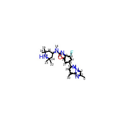 Cc1cn2nc(-c3cc(F)c4nc(N(C)C5CC(C)(C)NC(C)(C)C5)oc4c3)cc(C)c2n1